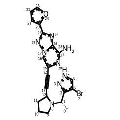 C[C@@H](c1n[nH]cc1Br)N1CCCC1C#Cc1cn2nc(-c3ccco3)nc2c(N)n1